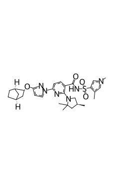 Cc1cn(C)cc1S(=O)(=O)NC(=O)c1ccc(-n2ccc(OC3C[C@H]4CC[C@@H]3C4)n2)nc1N1C[C@@H](C)CC1(C)C